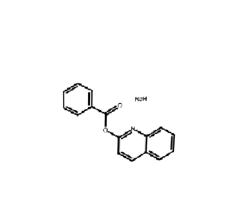 O=C(Oc1ccc2ccccc2n1)c1ccccc1.[NaH]